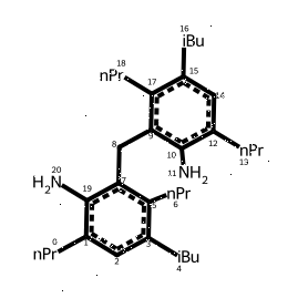 CCCc1cc(C(C)CC)c(CCC)c(Cc2c(N)c(CCC)cc(C(C)CC)c2CCC)c1N